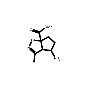 COC(=O)C12CCC(N)C1C(C)=NO2